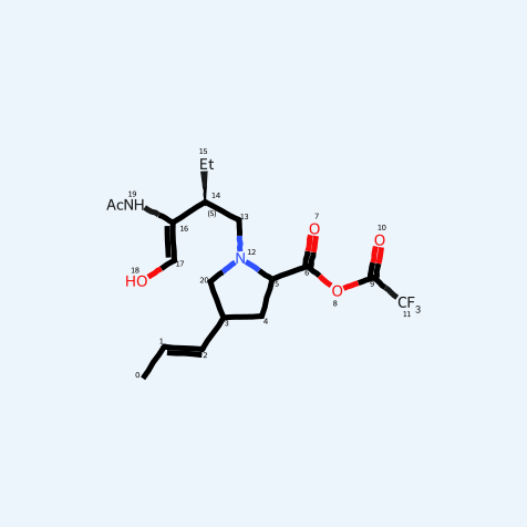 CC=CC1CC(C(=O)OC(=O)C(F)(F)F)N(C[C@H](CC)C(=CO)NC(C)=O)C1